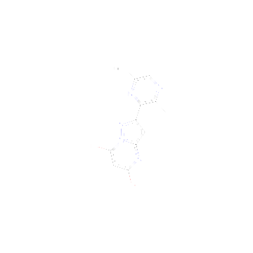 CCCc1cnc(C)c(-c2cc3nc(O)cc(O)n3n2)n1